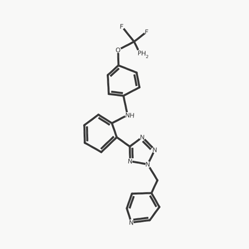 FC(F)(P)Oc1ccc(Nc2ccccc2-c2nnn(Cc3ccncc3)n2)cc1